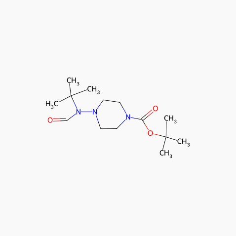 CC(C)(C)OC(=O)N1CCN(N(C=O)C(C)(C)C)CC1